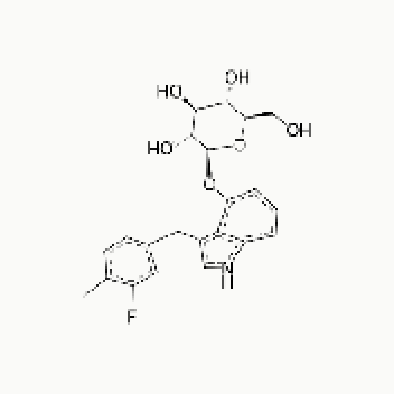 Cc1ccc(Cc2c[nH]c3cccc(O[C@@H]4O[C@H](CO)[C@@H](O)[C@H](O)[C@H]4O)c23)cc1F